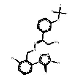 CCC(=NOCc1c(Br)cccc1-n1nnn(C)c1=O)c1cccc(OC(F)(F)F)c1